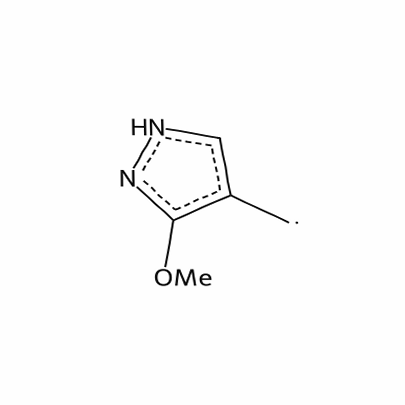 [CH2]c1c[nH]nc1OC